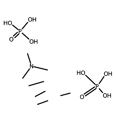 CC.CC.CC.CC.CN(C)C.O=P(O)(O)O.O=P(O)(O)O